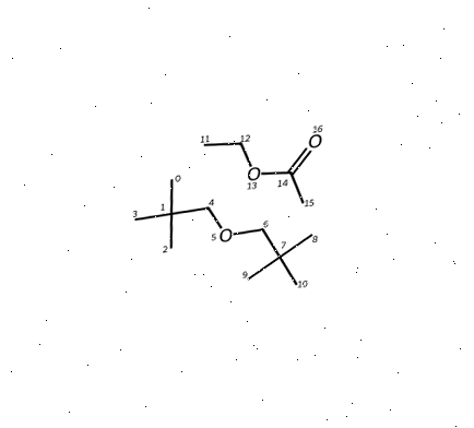 CC(C)(C)COCC(C)(C)C.CCOC(C)=O